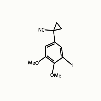 COc1cc(C2(C#N)CC2)cc(I)c1OC